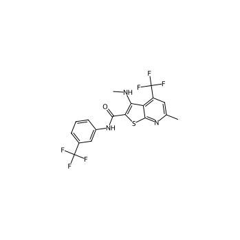 CNc1c(C(=O)Nc2cccc(C(F)(F)F)c2)sc2nc(C)cc(C(F)(F)F)c12